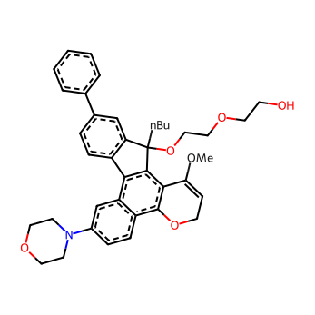 CCCCC1(OCCOCCO)c2cc(-c3ccccc3)ccc2-c2c1c1c(c3ccc(N4CCOCC4)cc23)OCC=C1OC